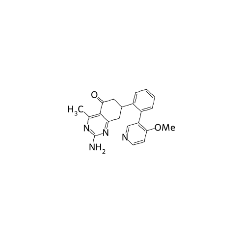 COc1ccncc1-c1ccccc1C1CC(=O)c2c(C)nc(N)nc2C1